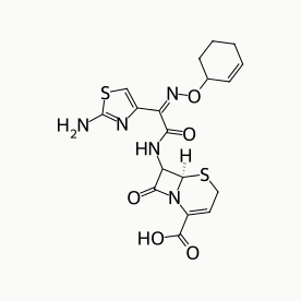 Nc1nc(/C(=N/OC2C=CCCC2)C(=O)NC2C(=O)N3C(C(=O)O)=CCS[C@H]23)cs1